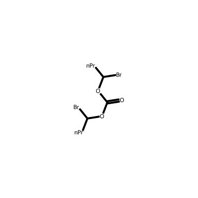 CCCC(Br)OC(=O)OC(Br)CCC